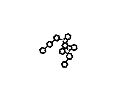 C1=CC(c2ccccc2)(n2c3ccccc3c3c4c5ccccc5n(-c5cccc(-c6ccc(-c7ccccc7)cc6)c5)c4ccc32)CC(c2ccccc2)=C1